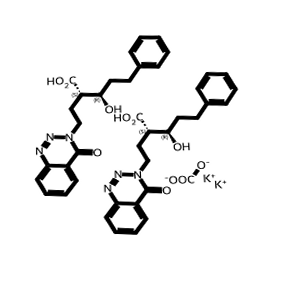 O=C(O)[C@@H](CCn1nnc2ccccc2c1=O)[C@H](O)CCc1ccccc1.O=C(O)[C@@H](CCn1nnc2ccccc2c1=O)[C@H](O)CCc1ccccc1.O=C([O-])[O-].[K+].[K+]